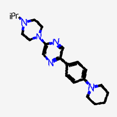 CC(C)N1CCN(c2cnc(-c3ccc(N4CCCCC4)cc3)cn2)CC1